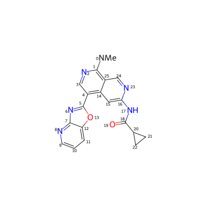 CNc1ncc(-c2nc3ncccc3o2)c2cc(NC(=O)C3CC3)ncc12